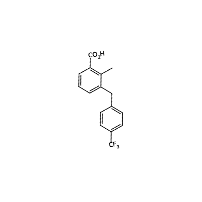 Cc1c(Cc2ccc(C(F)(F)F)cc2)cccc1C(=O)O